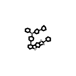 c1ccc(-c2ccc(N(c3ccccc3)c3ccc(-c4cccc5oc6cc7nc(-c8ccccc8)sc7cc6c45)cc3)cc2)cc1